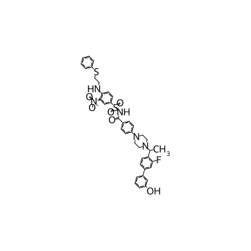 CC(c1ccc(-c2cccc(O)c2)cc1F)N1CCN(c2ccc(C(=O)NS(=O)(=O)c3ccc(NCCSc4ccccc4)c([N+](=O)[O-])c3)cc2)CC1